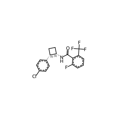 O=C(N[C@H]1CC[C@H]1c1ccc(Cl)cc1)c1c(F)cccc1C(F)(F)F